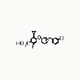 O=C(O)c1cc(C2CC2)c(OC2CCCN(Cc3cccc(Cl)c3)C2)cc1F